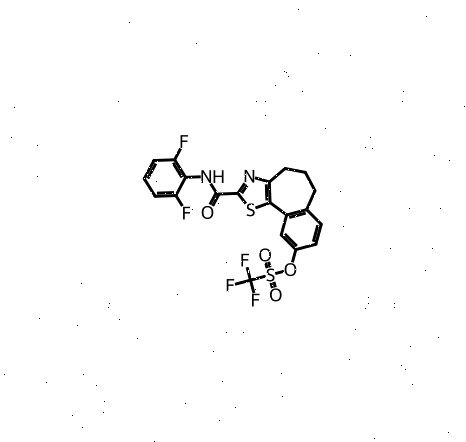 O=C(Nc1c(F)cccc1F)c1nc2c(s1)-c1cc(OS(=O)(=O)C(F)(F)F)ccc1CCC2